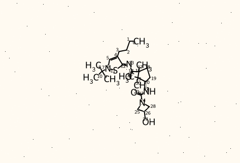 CCCCc1cn(C(C)(C)C)sc1=NC(=O)[C@]1(C)CC[C@H](NC(=O)N2CC(O)C2)C1(C)C